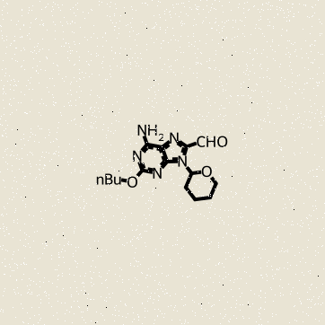 CCCCOc1nc(N)c2nc(C=O)n(C3CCCCO3)c2n1